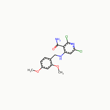 COc1ccc(CNc2cc(Cl)nc(Cl)c2C(N)=O)c(OC)c1